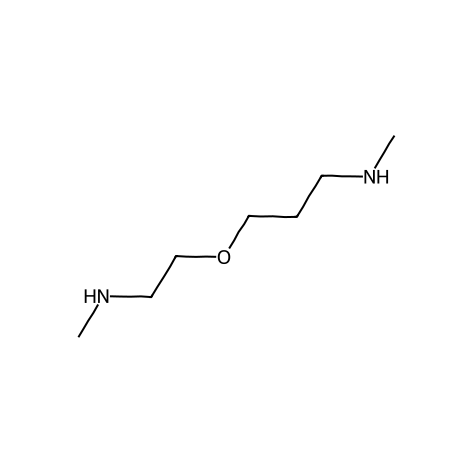 CNCCCOCCNC